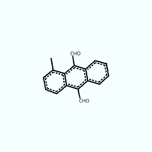 Cc1cccc2c(C=O)c3ccccc3c(C=O)c12